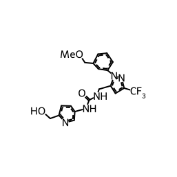 COCc1cccc(-n2nc(C(F)(F)F)cc2CNC(=O)Nc2ccc(CO)nc2)c1